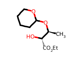 CCOC(=O)[C@H](O)[C@H](C)OC1CCCCO1